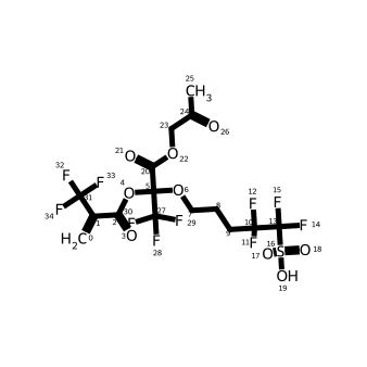 C=C(C(=O)OC(OCCCC(F)(F)C(F)(F)S(=O)(=O)O)(C(=O)OCC(C)=O)C(F)(F)F)C(F)(F)F